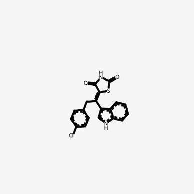 O=C1NC(=O)C(=C(Cc2ccc(Cl)cc2)c2c[nH]c3ccccc23)S1